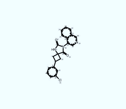 O=C1NC2(CC(c3cccc(Cl)c3)C2)C(=O)N1c1cncc2ccccc12